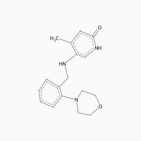 Cc1[c]c(=O)[nH]cc1NCc1ccccc1N1CCOCC1